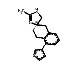 CC1=N[C@@]2(CCc3c(cccc3-c3ccsc3)C2)CN1